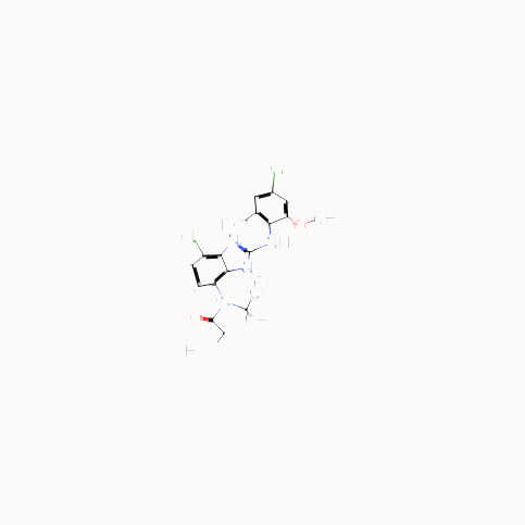 CCC(=O)N(c1ccc(Cl)c2nc(Nc3c(C)cc(Cl)cc3OC)n(C)c12)C(C)C